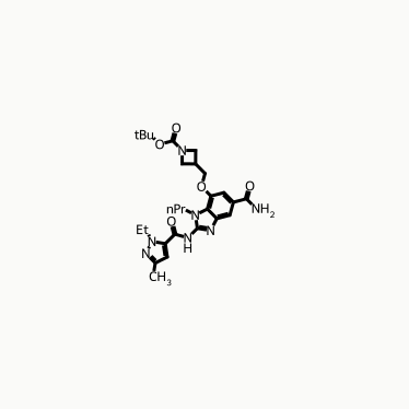 CCCn1c(NC(=O)c2cc(C)nn2CC)nc2cc(C(N)=O)cc(OCC3CN(C(=O)OC(C)(C)C)C3)c21